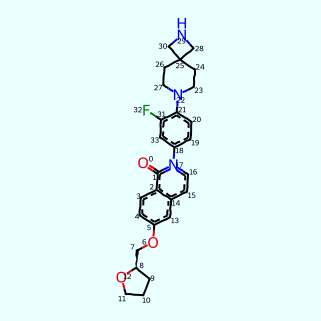 O=c1c2ccc(OC[C@H]3CCCO3)cc2ccn1-c1ccc(N2CCC3(CC2)CNC3)c(F)c1